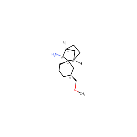 COC[C@H]1CCC[C@]2(C1)[C@@H]1CC[C@@H](C1)[C@H]2N